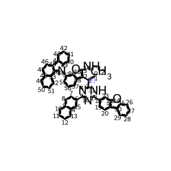 C/C=C(/C1=NC(c2ccc3ccccc3c2)=NC(c2ccc3c(c2)oc2ccccc23)N1)c1c(N)oc2c(-n3c4ccccc4c4ccc5ccccc5c43)cccc12